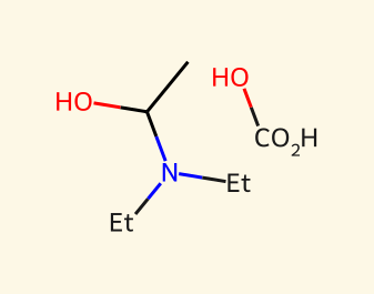 CCN(CC)C(C)O.O=C(O)O